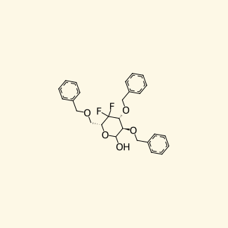 OC1O[C@H](COCc2ccccc2)C(F)(F)[C@H](OCc2ccccc2)[C@H]1OCc1ccccc1